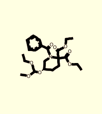 CCOC(=O)C1(C(=O)OCC)CC[C@H](OC(OC)OCC)CN1C(=O)c1ccccc1